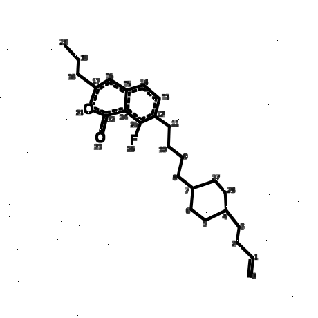 C=CCCC1CCC(CCCCc2ccc3cc(CCC)oc(=O)c3c2F)CC1